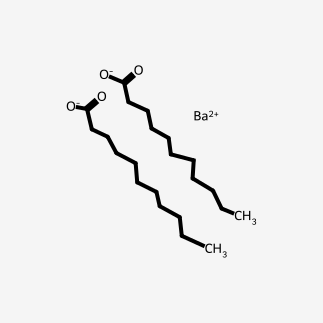 CCCCCCCCCCC(=O)[O-].CCCCCCCCCCC(=O)[O-].[Ba+2]